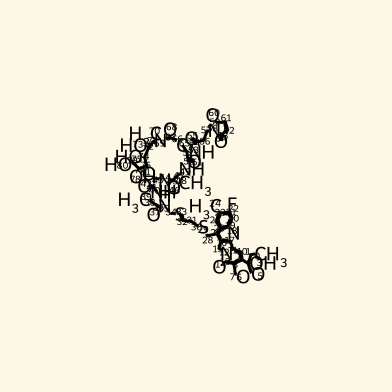 CC[C@@]1(O)C(=O)OCc2c1cc1n(c2=O)Cc2c-1nc1cc(F)c(C)cc1c2CSCCCSCNC(=O)[C@H](C)NC(=O)[C@H]1NC(=O)[C@H](C)NC(=O)[C@@H](NC(=O)CCN2C(=O)C=CC2=O)CCC(=O)N(C)C[C@H](O)[C@@H](O)[C@@H]([C@H](O)CO)O1